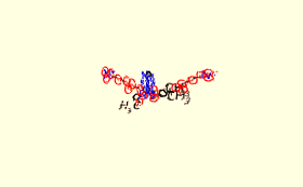 COc1ccccc1Oc1c(NS(=O)(=O)c2ccc(C(C)(C)COC(=O)OCCOCCO[N+](=O)[O-])cc2)nc(-c2ncccn2)nc1OCCOC(=O)OCCOCCO[N+](=O)[O-]